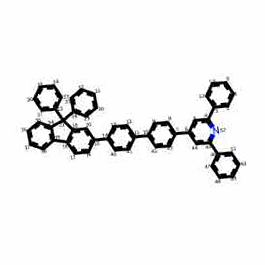 c1ccc(-c2cc(-c3ccc(-c4ccc(-c5ccc6c(c5)C(c5ccccc5)(c5ccccc5)c5ccccc5-6)cc4)cc3)cc(-c3ccccc3)n2)cc1